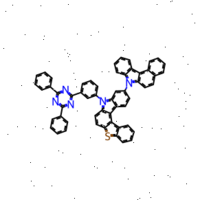 c1ccc(-c2nc(-c3ccccc3)nc(-c3cccc(-n4c5cc(-n6c7ccccc7c7c8ccccc8ccc76)ccc5c5c6c(ccc54)sc4ccccc46)c3)n2)cc1